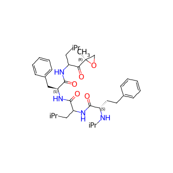 CC(C)CC(NC(=O)[C@H](CCc1ccccc1)NC(C)C)C(=O)N[C@@H](Cc1ccccc1)C(=O)NC(CC(C)C)C(=O)[C@@]1(C)CO1